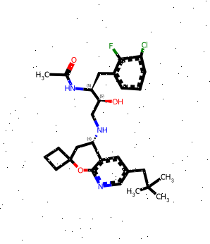 CC(=O)N[C@@H](Cc1cccc(Cl)c1F)[C@@H](O)CN[C@H]1CC2(CCC2)Oc2ncc(CC(C)(C)C)cc21